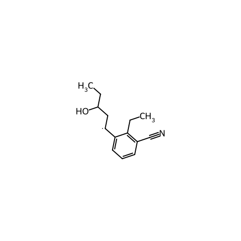 CCc1c(C#N)cccc1[CH]CC(O)CC